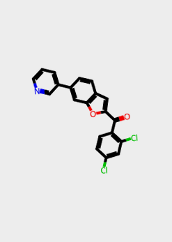 O=C(c1cc2ccc(-c3cccnc3)cc2o1)c1ccc(Cl)cc1Cl